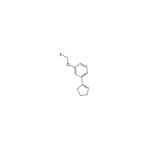 FCOc1cccc(C2=CCCC2)c1